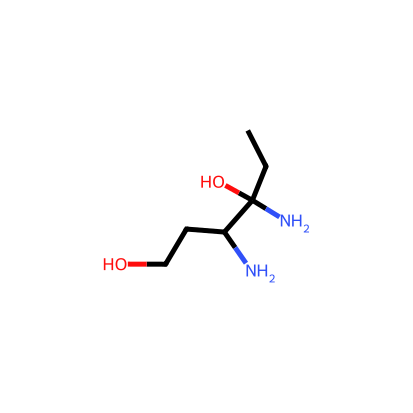 CCC(N)(O)C(N)CCO